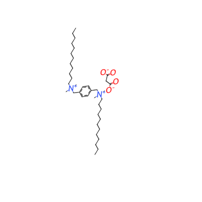 CCCCCCCCCCCC[N+](C)(C)Cc1ccc(C[N+](C)(C)CCCCCCCCCCCC)cc1.O=C([O-])CC(=O)[O-]